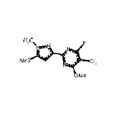 COc1nc(-c2cc(SC)n(C)n2)nc(F)c1C(F)(F)F